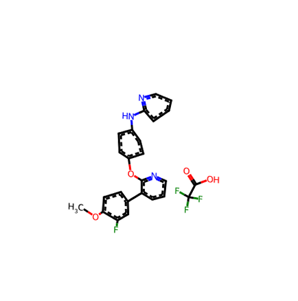 COc1ccc(-c2cccnc2Oc2ccc(Nc3ccccn3)cc2)cc1F.O=C(O)C(F)(F)F